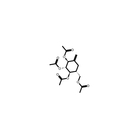 C=C1C[C@H](COC(C)=O)[C@@H](OC(C)=O)[C@H](OC(C)=O)[C@H]1OC(C)=O